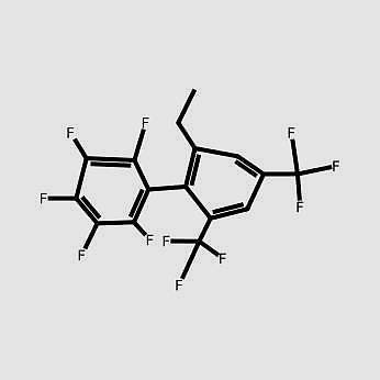 CCc1cc(C(F)(F)F)cc(C(F)(F)F)c1-c1c(F)c(F)c(F)c(F)c1F